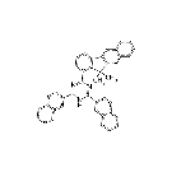 CC1(C)c2cc3ccccc3cc2-c2cccc(C3=NC(c4ccc5ccccc5c4)NC(c4ccc5ccccc5c4)=N3)c21